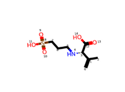 C=C(C)[C@H](NCCCS(=O)(=O)O)C(=O)O